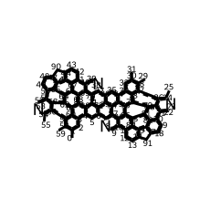 Cc1cc2c3cc4c5ncc6c7ccc8c9c%10c(ccc%11c%12cnc(C)c%13c%14c(C)c(C)cc%15c%16cc%17c%18ncc%19c%20ccc%21c%22c%23c(ccc%24c%25cnc(C)c%26c(c1C)c2c1c(c%25%26)c(c%24%23)c(c%20%22)c2c%19c%18c(c4c%17c4c%16c%16c(c%15%14)c(c%12%13)c(c%11%10)c(c79)c%16c6c54)c3c12)C%21)C8